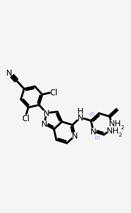 C=C(N)/C=C(\N=C/N)Nc1nccc2nn(-c3c(Cl)cc(C#N)cc3Cl)cc12